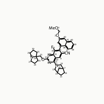 COCOc1cc(-c2c(C#N)cc3c(N4CC5CCC(C5)C4)nc(OCC45CCCN4CCC5)nc3c2F)c2ccccc2c1